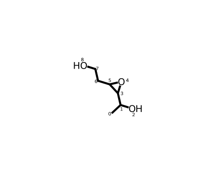 CC(O)C1OC1CCO